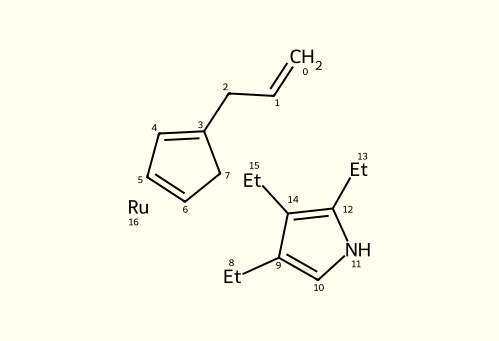 C=CCC1=CC=CC1.CCc1c[nH]c(CC)c1CC.[Ru]